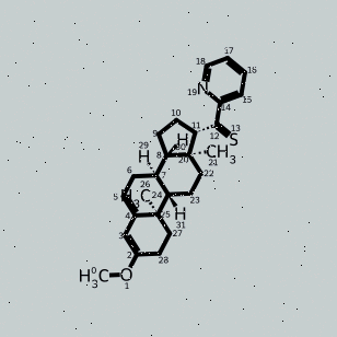 COC1=CC2=CC[C@H]3[C@@H]4CC[C@H](C(=S)c5ccccn5)[C@@]4(C)CC[C@@H]3[C@@]2(C)CC1